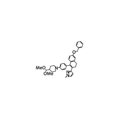 COC(OC)C1CCN(c2ccc(C3=C(c4ccn(C)n4)CCc4cc(OCc5ccccc5)ccc43)cc2)CC1